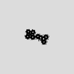 c1ccc(C2(c3ccccc3)c3ccccc3-c3ccc(-c4ccc5c(c4)N=C4c6ccccc6-c6ccccc6C4C5)cc32)cc1